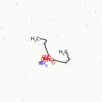 CCCCC/C=C\C/C=C\CCCCCCCC(=O)OCC(COP(=O)(O)OCCN)OC(=O)CCCCCCC/C=C\C/C=C\CCCCC